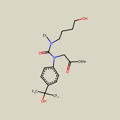 CCN(CCCCO)C(=O)N(CC(=O)OC)c1ccc(C(O)(C(F)(F)F)C(F)(F)F)cc1